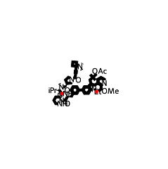 CCn1c(-c2cccnc2[C@H](C)OC)c(CC(C)(C)COC(C)=O)c2cc(-c3cccc(C[C@H](NC(=O)[C@H](C(C)C)N(C)C(=O)[C@H]4CCN(C(=O)C#CC5(N(C)C)CCC5)C4)C(=O)N4CCCCN4)c3)ccc21